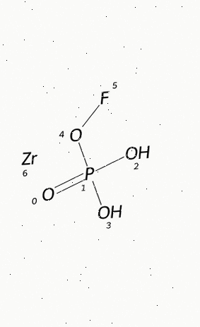 O=P(O)(O)OF.[Zr]